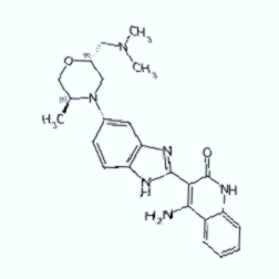 C[C@H]1CO[C@H](CN(C)C)CN1c1ccc2[nH]c(-c3c(N)c4ccccc4[nH]c3=O)nc2c1